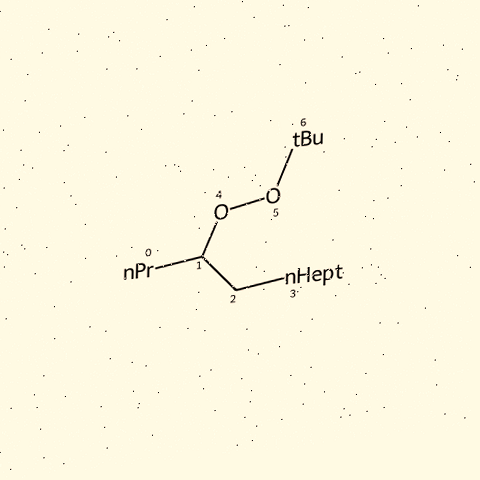 [CH2]CCC(CCCCCCCC)OOC(C)(C)C